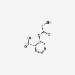 O=C(CS)Oc1ccccc1C(=O)O